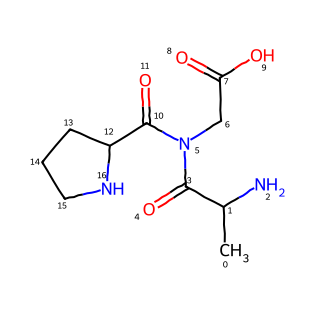 CC(N)C(=O)N(CC(=O)O)C(=O)C1CCCN1